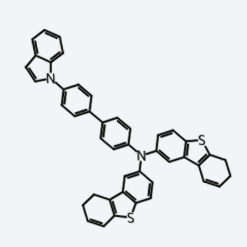 C1=Cc2c(sc3ccc(N(c4ccc(-c5ccc(-n6ccc7ccccc76)cc5)cc4)c4ccc5sc6c(c5c4)CCC=C6)cc23)CC1